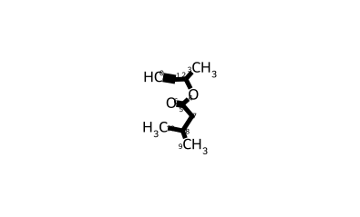 C#CC(C)OC(=O)CC(C)C